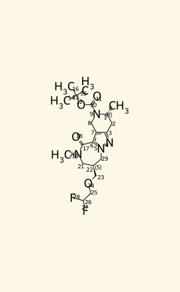 C[C@@H]1Cc2nn3c(c2CN1C(=O)OC(C)(C)C)C(=O)N(C)C[C@H](COCC(F)F)C3